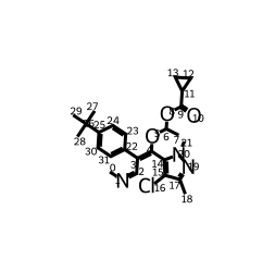 C/N=C\C(=C(\OC(C)OC(=O)C1CC1)c1c(Cl)c(C)nn1C)c1ccc(C(C)(C)C)cc1